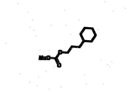 [CH2]OC(=O)OCCCC1CCCCC1